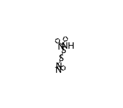 Cc1nc2ccccc2n1CCCSCCCSc1nc(-c2ccccc2)c(-c2ccccc2)[nH]1